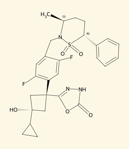 C[C@H]1CC[C@H](c2ccccc2)S(=O)(=O)N1Cc1cc(F)c([C@]2(c3n[nH]c(=O)o3)C[C@](O)(C3CC3)C2)cc1F